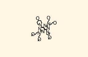 COCCN(CCOC)c1nc(N2CC(OC)C2)c2nc(N(CCOC)CCOC)nc(N3CCC(OC)CC3)c2n1